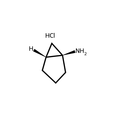 Cl.N[C@@]12CCC[C@@H]1C2